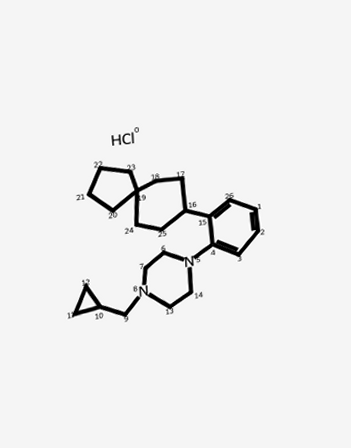 Cl.c1ccc(N2CCN(CC3CC3)CC2)c(C2CCC3(CCCC3)CC2)c1